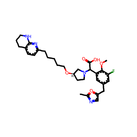 COc1c(F)cc(Cc2cnc(C)o2)cc1C(C(=O)O)N1CC[C@@H](OCCCCCc2ccc3c(n2)NCCC3)C1